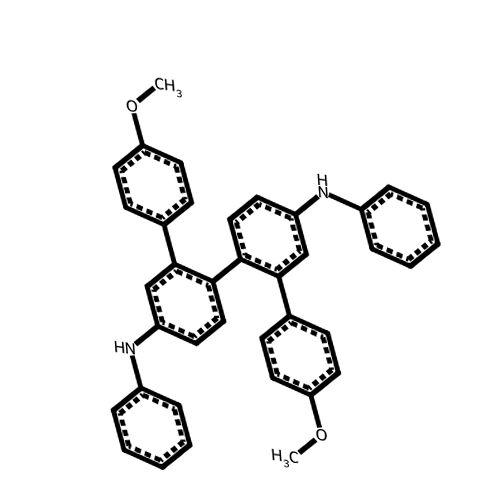 COc1ccc(-c2cc(Nc3ccccc3)ccc2-c2ccc(Nc3ccccc3)cc2-c2ccc(OC)cc2)cc1